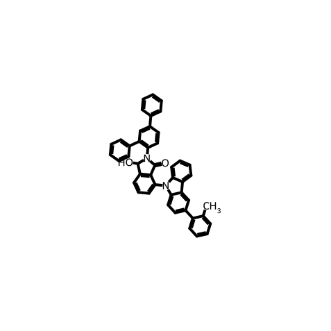 Cc1ccccc1-c1ccc2c(c1)c1ccccc1n2-c1cccc2c1C(=O)N(c1ccc(-c3ccccc3)cc1-c1ccccc1)C2O